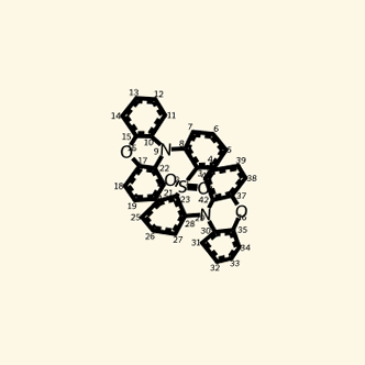 O=S(=O)(c1ccccc1N1c2ccccc2Oc2ccccc21)c1ccccc1N1c2ccccc2Oc2ccccc21